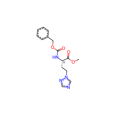 COC(=O)[C@H](CCn1cncn1)NC(=O)OCc1ccccc1